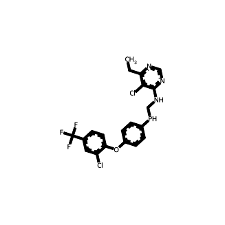 CCc1ncnc(NCPc2ccc(Oc3ccc(C(F)(F)F)cc3Cl)cc2)c1Cl